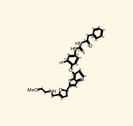 COCCNCC1=CCC(c2cc3nccc(Oc4ccc(NC(=S)NC(=O)Cc5ccccc5)cc4F)c3s2)O1